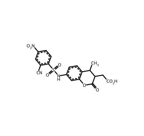 CC1c2ccc(NS(=O)(=O)c3ccc([N+](=O)[O-])cc3C#N)cc2OC(=O)C1CC(=O)O